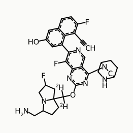 [2H]C([2H])(Oc1nc(N2CC3CCC2CN3)c2cnc(-c3cc(O)cc4ccc(F)c(C#C)c34)c(F)c2n1)C12CCC(CN)N1CC(F)C2